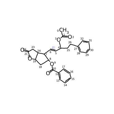 CC(=O)OC(/C=C/C1C(OC(=O)c2ccccc2)CC2OC(=O)CC21)CCc1ccccc1